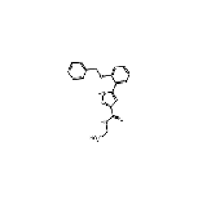 O=C(O)CNC(=O)c1cc(-c2ccccc2OCc2ccccc2)[nH]n1